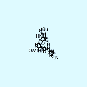 COc1cncc(O[C@H]2C[C@H](NC(=O)OC(C)(C)C)[C@H]3C[C@H]32)c1-c1cc(Nc2cnc(C#N)cn2)n[nH]1